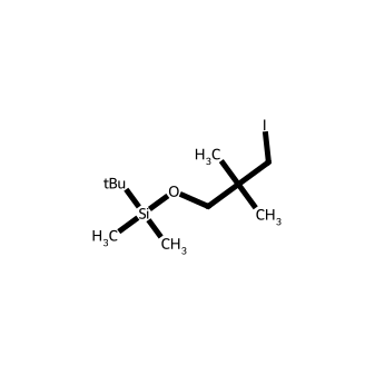 CC(C)(CI)CO[Si](C)(C)C(C)(C)C